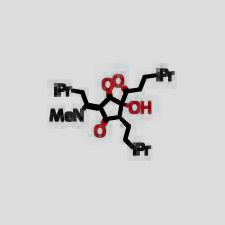 CN/C(CC(C)C)=C1\C(=O)[C@H](CCC(C)C)[C@@](O)(C(=O)CCC(C)C)C1=O